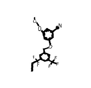 C=CC(F)(F)c1cc(COc2cc(C#N)cc(OCOC)c2)cc(C(F)(F)F)c1